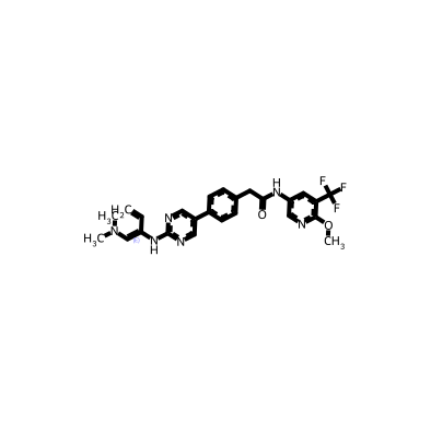 C=C/C(=C\N(C)C)Nc1ncc(-c2ccc(CC(=O)Nc3cnc(OC)c(C(F)(F)F)c3)cc2)cn1